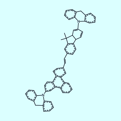 CC1(C)c2cc(/C=C/c3ccc4c5ccc(N6c7ccccc7Cc7ccccc76)cc5c5ccccc5c4c3)ccc2C2C=CC(N3c4ccccc4Cc4ccccc43)=CC21